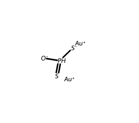 [Au+].[Au+].[O-][PH](=S)[S-]